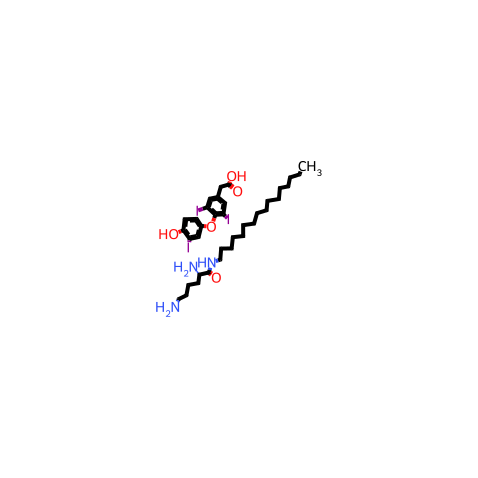 CCCCCCCCCCCCCCCCNC(=O)[C@@H](N)CCCCN.O=C(O)Cc1cc(I)c(Oc2ccc(O)c(I)c2)c(I)c1